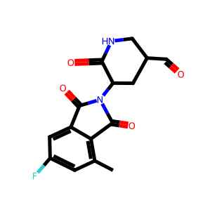 Cc1cc(F)cc2c1C(=O)N(C1CC(C=O)CNC1=O)C2=O